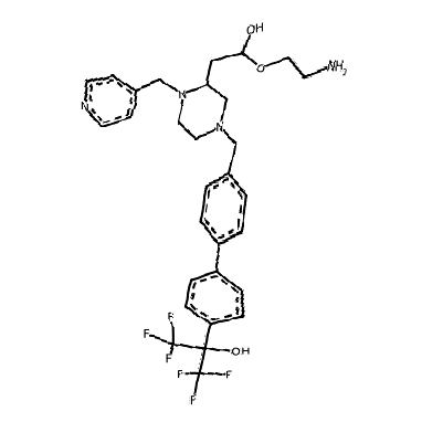 NCCOC(O)CC1CN(Cc2ccc(-c3ccc(C(O)(C(F)(F)F)C(F)(F)F)cc3)cc2)CCN1Cc1ccncc1